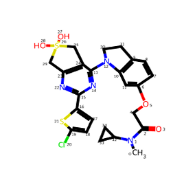 CN(C(=O)COc1ccc2c(c1)N(c1nc(-c3ccc(Cl)s3)nc3c1CS(O)(O)C3)CC2)C1CC1